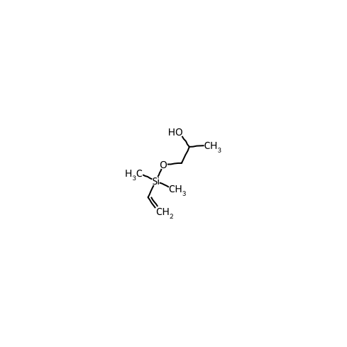 C=C[Si](C)(C)OCC(C)O